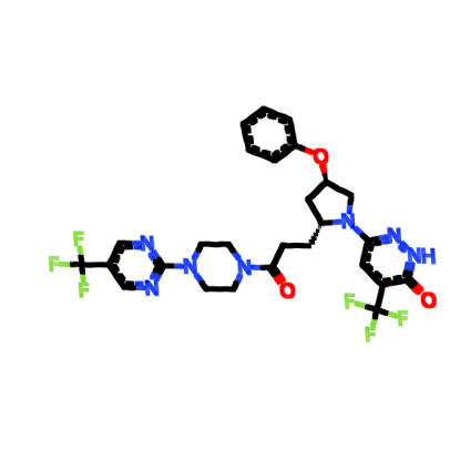 O=C(CC[C@@H]1C[C@@H](Oc2ccccc2)CN1c1cc(C(F)(F)F)c(=O)[nH]n1)N1CCN(c2ncc(C(F)(F)F)cn2)CC1